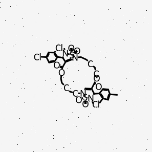 Cc1ccc(C2C3=CN(CCCCCOC(=O)C4=CN(CCCCCOC3=O)S(=O)(=O)N(C)C4c3ccc(Cl)cc3Cl)S(=O)(=O)N2C)c(Cl)c1